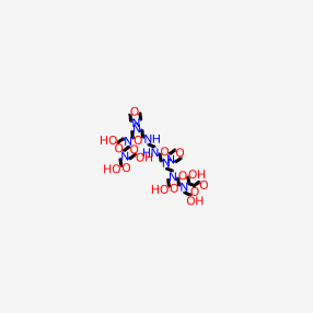 O=CCC(C(=O)O)N(CCN(CCN(CC(=O)NCCNC(=O)CN(CCN(CCN(CC(=O)O)CC(=O)O)CC(=O)O)N1CCOCC1)N1CCOCC1)CC(=O)O)CC(=O)O